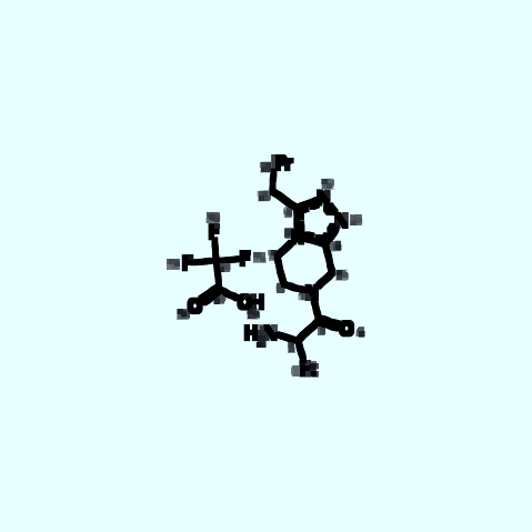 CCC(N)C(=O)N1CCn2c(CC(C)C)nnc2C1.O=C(O)C(F)(F)F